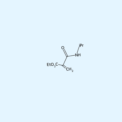 C=C(C(=O)NC(C)C)C(=O)OCC